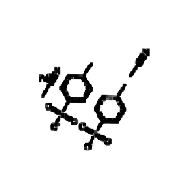 CC#N.CC#N.Cc1ccc(S(=O)(=O)[O-])cc1.Cc1ccc(S(=O)(=O)[O-])cc1.[Pd+2]